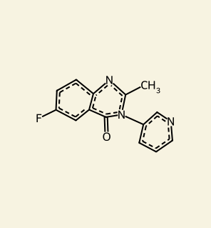 Cc1nc2ccc(F)cc2c(=O)n1-c1cccnc1